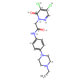 CCN1CCN(c2ccc(NC(=O)Cn3ncc(Cl)c(Cl)c3=O)cc2)CC1